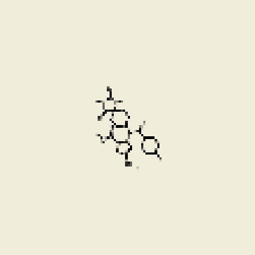 Bc1cc(N(C(=O)C2CCC(C)CC2)C2CCC3(CC2)C(=O)N(C)C(=O)N3C)c(C(=O)OC)s1